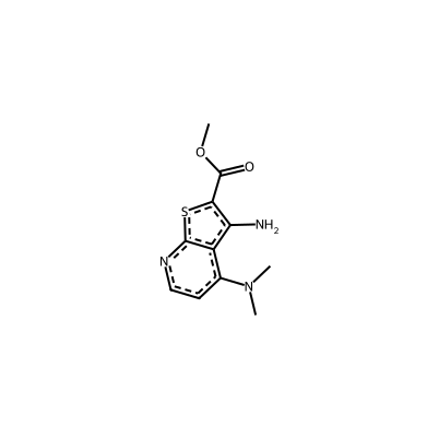 COC(=O)c1sc2nccc(N(C)C)c2c1N